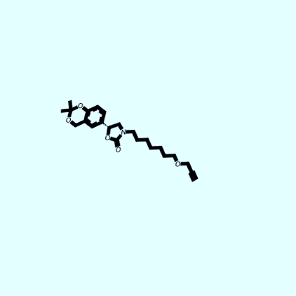 C#CCOCCCCCCCN1C[C@@H](c2ccc3c(c2)COC(C)(C)O3)OC1=O